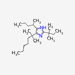 CCCCCC(C)(C)c1nc(C(C)(C)CC)[nH]c1C(C)CCC